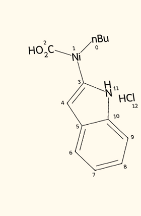 CCC[CH2][Ni]([C](=O)O)[c]1cc2ccccc2[nH]1.Cl